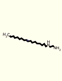 CCCCCCCC/C=C/CCCCCCCCNCCN